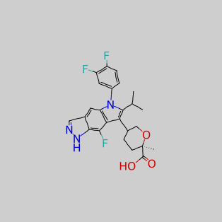 CC(C)c1c(C2CC[C@](C)(C(=O)O)OC2)c2c(F)c3[nH]ncc3cc2n1-c1ccc(F)c(F)c1